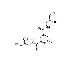 O=C(NCC(O)CO)c1cc(I)cc(C(=O)NCC(O)CO)c1